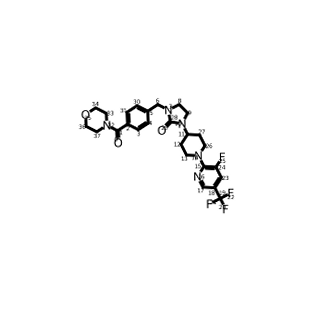 O=C(c1ccc(CN2CCN(C3CCN(c4ncc(C(F)(F)F)cc4F)CC3)C2=O)cc1)N1CCOCC1